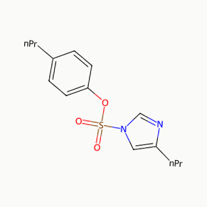 CCCc1ccc(OS(=O)(=O)n2cnc(CCC)c2)cc1